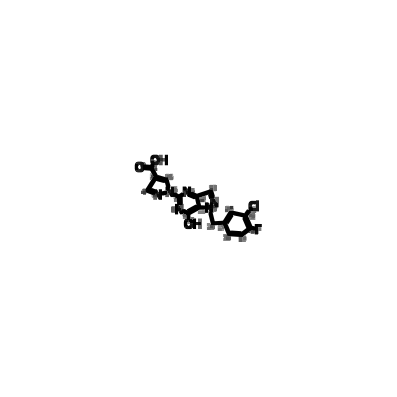 O=C(O)c1cnn(-c2nc(O)c3c(cnn3Cc3ccc(F)c(Cl)c3)n2)c1